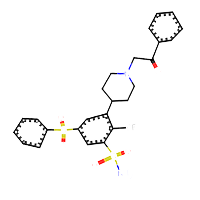 NS(=O)(=O)c1cc(S(=O)(=O)c2ccccc2)cc(C2CCN(CC(=O)c3ccccc3)CC2)c1C(F)(F)F